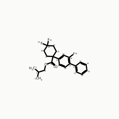 CC(C)COC(=O)C1(c2ccc(-c3ccccc3)c(F)c2)CCC(F)(F)CC1